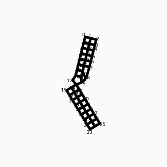 C1C2CC3C4C5C6C7C8C9C%10C(CC9%11C9CC%12C%13C%14C%15C%16C%17C%18CC%19CC%20C%21C%22C%23C%24C%25C%11C%129C%13%25C%14%24C%15%23C%16%22C%17%21C%19%18%20)C9C%11C%12C%13C%14C1C23C%144C%135C%126C%117C%1098